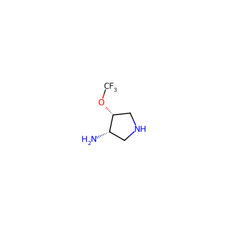 N[C@H]1CNC[C@H]1OC(F)(F)F